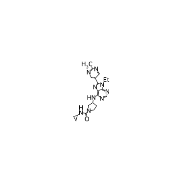 CCn1c(-c2cnc(C)nc2)nc2c(NC3CCN(C(=O)NC4CC4)C3)ncnc21